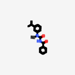 C=C(C)c1cccc(N(C#N)C(=O)NC(=O)c2ccccc2)c1